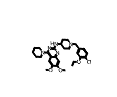 CCOc1cc(CN2CCC(Nc3nc(N4CCCCC4)c4cc(OC)c(OC)cc4n3)CC2)ccc1Cl